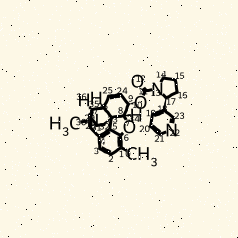 Cc1ccc2c3c1O[C@H]1[C@@H](OC(=O)N4CCC[C@H]4c4cccnc4)C=C[C@H]4[C@@H](C2)N(C)CC[C@@]341